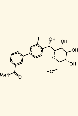 CNC(=O)c1cccc(-c2ccc([C@H](O)[C@H]3O[C@@H](CO)[C@@H](O)[C@H](O)[C@H]3O)c(C)c2)c1